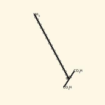 NCCOCCOCCOCCOCCOCCOCCOCCOCCOCCOCCOCCOCCOCCOCCOCCOCCOCCOCCOCCOCCOCCOCCOCCNC(=O)C(CCCCCCCCCCC(=O)O)CCCCCCCCCCC(=O)O